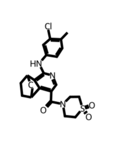 Cc1ccc(Nc2ncc(C(=O)N3CCS(=O)(=O)CC3)c3c2C2CCC3CC2)cc1Cl